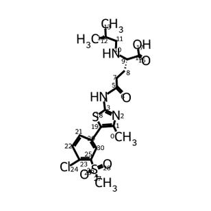 Cc1nc(NC(=O)CC[C@H](NCC(C)C)C(=O)O)sc1-c1ccc(Cl)c(S(C)(=O)=O)c1